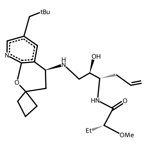 C=CC[C@H](NC(=O)[C@@H](CC)OC)[C@H](O)CN[C@H]1CC2(CCC2)Oc2ncc(CC(C)(C)C)cc21